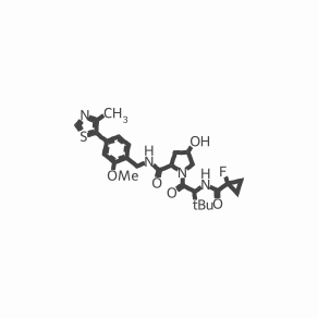 COc1cc(-c2scnc2C)ccc1CNC(=O)C1CC(O)CN1C(=O)C(NC(=O)C1(F)CC1)C(C)(C)C